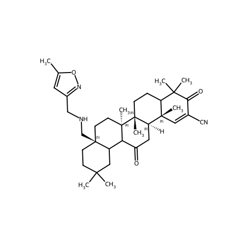 Cc1cc(CNC[C@]23CCC(C)(C)CC2C2C(=O)C[C@@H]4[C@@]5(C)C=C(C#N)C(=O)C(C)(C)C5CC[C@@]4(C)[C@]2(C)CC3)no1